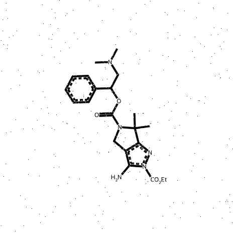 CCOC(=O)n1nc2c(c1N)CN(C(=O)OC(CN(C)C)c1ccccc1)C2(C)C